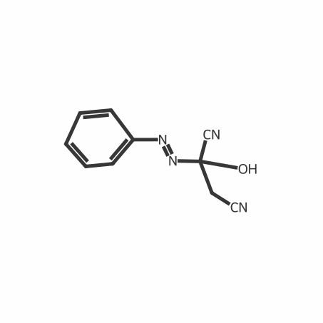 N#CCC(O)(C#N)N=Nc1ccccc1